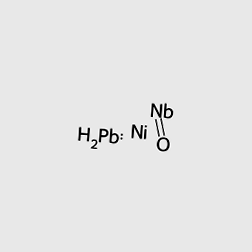 [Ni].[O]=[Nb].[PbH2]